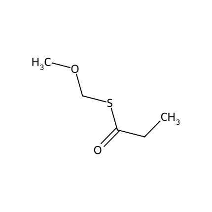 CCC(=O)SCOC